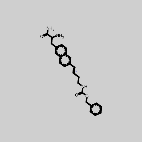 NC(=O)C(N)Cc1ccc2cc(/C=C/CCNC(=O)OCc3ccccc3)ccc2c1